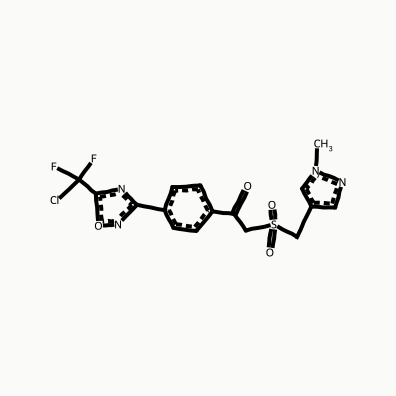 Cn1cc(CS(=O)(=O)CC(=O)c2ccc(-c3noc(C(F)(F)Cl)n3)cc2)cn1